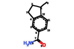 CC1CCc2cc(C(N)=O)ccc21